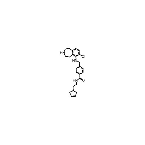 O=C(NCCC1CC=CS1)c1ccc(CNc2c(Cl)ccc3c2CCNCC3)cc1